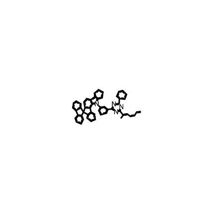 C=C/C=C\C=C(/C)c1nc(-c2ccccc2)nc(-c2cccc(-n3c4ccccc4c4ccc5c(c43)-c3ccccc3C53c4ccccc4-c4ccccc43)c2)n1